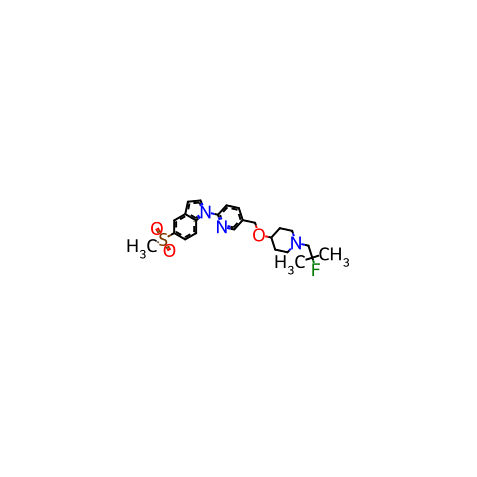 CC(C)(F)CN1CCC(OCc2ccc(-n3ccc4cc(S(C)(=O)=O)ccc43)nc2)CC1